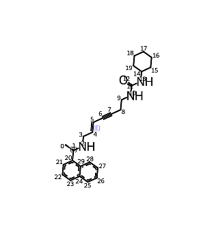 C[C@@H](NC/C=C/C#CCCNC(=O)NC1CCCCC1)c1cccc2ccccc12